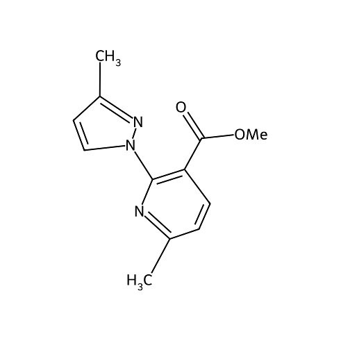 COC(=O)c1ccc(C)nc1-n1ccc(C)n1